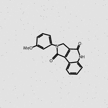 COc1cccc(N2Cc3c(c4ccccc4[nH]c3=O)C2=O)c1